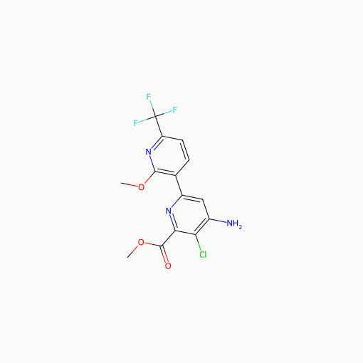 COC(=O)c1nc(-c2ccc(C(F)(F)F)nc2OC)cc(N)c1Cl